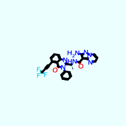 C[C@@H](NC(=O)c1c(N)nn2cccnc12)c1nc2cccc(C#CC(F)(F)F)c2c(=O)n1-c1ccccc1